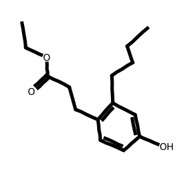 CCCCc1cc(O)ccc1CCC(=O)OCC